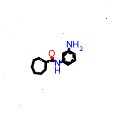 Nc1cccc(NC(=O)C2CCCCCC2)c1